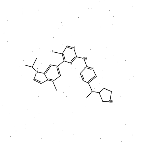 CC(C)n1ncc2c(F)cc(-c3nc(Nc4ccc(N(C)C5CCNC5)cn4)ncc3F)cc21